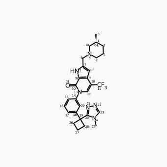 C[C@H]1CCCN(Cc2cc3c(C(F)(F)F)cn(-c4cccc(C5(c6nncn6C)CCC5)c4)c(=O)c3[nH]2)C1